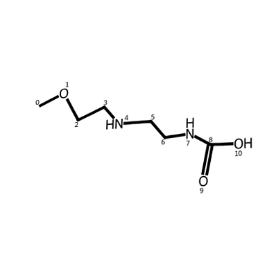 COCCNCCNC(=O)O